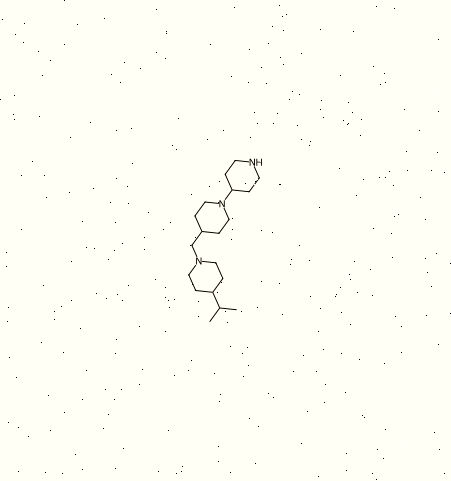 CC(C)C1CCN(CC2CCN(C3CCNCC3)CC2)CC1